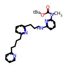 CN(C(=O)OC(C)(C)C)c1cccc(NCCCc2cccc(CCCCc3ccccn3)n2)n1